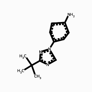 CC(C)(C)c1ncn(-c2ccc(N)cc2)n1